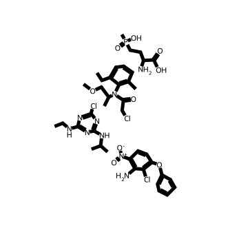 CCNc1nc(Cl)nc(NC(C)C)n1.CCc1cccc(C)c1N(C(=O)CCl)C(C)COC.CP(=O)(O)CCC(N)C(=O)O.Nc1c([N+](=O)[O-])ccc(Oc2ccccc2)c1Cl